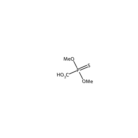 COP(=S)(OC)C(=O)O